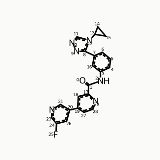 O=C(Nc1cccc(-c2nncn2C2CC2)c1)c1cc(-c2cncc(F)c2)ccn1